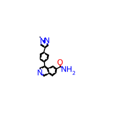 Cn1cc(-c2ccc(-c3cncc4ccc(C(N)=O)cc34)cc2)cn1